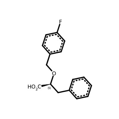 O=C(O)[C@H](Cc1ccccc1)OCc1ccc(F)cc1